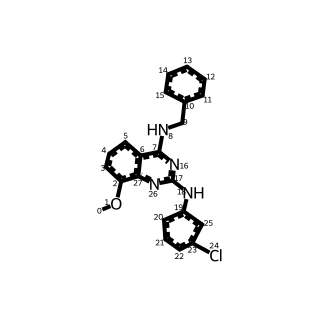 COc1cccc2c(NCc3ccccc3)nc(Nc3cccc(Cl)c3)nc12